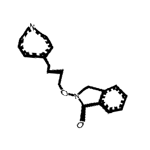 O=C1c2ccccc2CN1OCCc1ccncc1